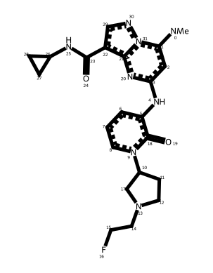 CNc1cc(Nc2cccn(C3CCN(CCF)C3)c2=O)nc2c(C(=O)NC3CC3)cnn12